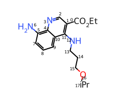 CCOC(=O)c1cnc2c(N)cccc2c1NCCCOC(C)C